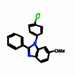 COc1ccc2nc(-c3ccccc3)n(-c3ccc(Cl)cc3)c2c1